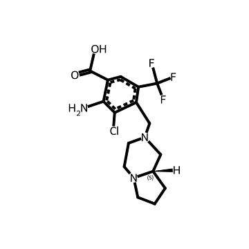 Nc1c(C(=O)O)cc(C(F)(F)F)c(CN2CCN3CCC[C@H]3C2)c1Cl